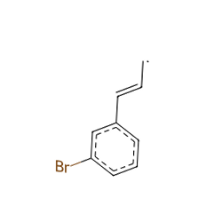 [CH2]/C=C/c1cccc(Br)c1